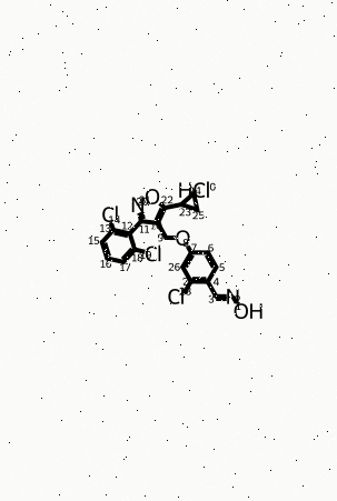 Cl.ON=Cc1ccc(OCc2c(-c3c(Cl)cccc3Cl)noc2C2CC2)cc1Cl